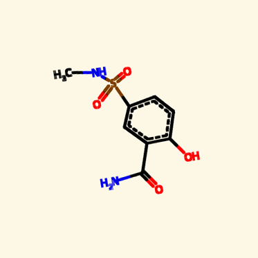 CNS(=O)(=O)c1ccc(O)c(C(N)=O)c1